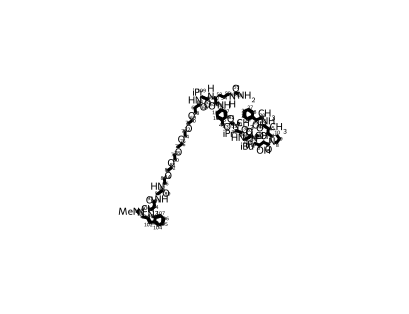 CC[C@H](C)[C@@H]([C@H](O)CC(=O)N1CCC[C@H]1[C@H](OC)[C@@H](C)C(=O)N[C@H](C)[C@@H](O)c1ccccc1)N(C)C(=O)[C@@H](NC(=O)[C@H](C(C)C)N(C)C(=O)OCc1ccc(NC(=O)[C@H](CCCNC(N)=O)NC(=O)[C@@H](NC(=O)CCOCCOCCOCCOCCOCCOCCNC(=O)CNC(=O)CCn2c(CN(C)NC)cc3ccccc32)C(C)C)cc1)C(C)C